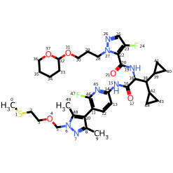 CSCCOCn1nc(C)c(-c2ccc(NC(=O)[C@@H](NC(=O)c3c(F)cnn3CCCOC3CCCCO3)C(C3CC3)C3CC3)nc2F)c1C